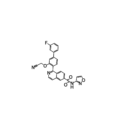 N#CCOc1cc(-c2cccc(F)c2)ccc1-c1nccc2cc(S(=O)(=O)Nc3ccon3)ccc12